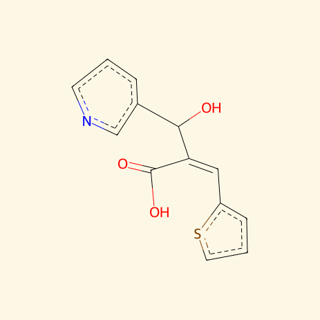 O=C(O)C(=Cc1cccs1)C(O)c1cccnc1